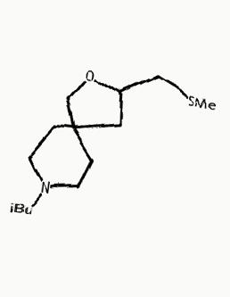 CCC(C)N1CCC2(CC1)COC(CSC)C2